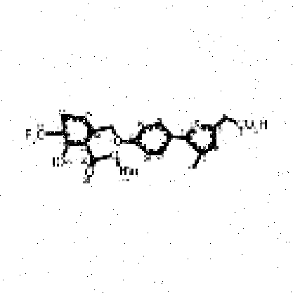 Cc1cc(CC(=O)O)sc1-c1ccc(OCc2ccc(C(F)(F)F)c(O)c2C(=O)OC(C)(C)C)cc1